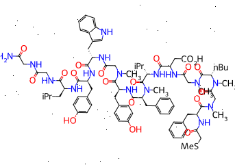 CCCC[C@@H](C(=O)N(C)CC(=O)NC(CC(=O)O)C(=O)N[C@H](C(=O)N(C)[C@@H](Cc1ccccc1)C(=O)N[C@@H](Cc1ccc(O)cc1)C(=O)N(C)CC(=O)N[C@@H](Cc1c[nH]c2ccccc12)C(=O)N[C@@H](Cc1ccc(O)cc1)C(=O)N[C@@H](CC(C)C)C(=O)NCC(=O)NCC(N)=O)C(C)C)N(C)C(=O)CN(C)C(=O)[C@H](Cc1ccccc1)NC(=O)CSC